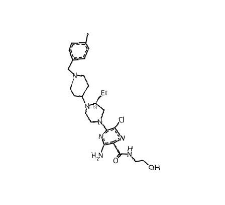 CC[C@H]1CN(c2nc(N)c(C(=O)NCCO)nc2Cl)CCN1C1CCN(Cc2ccc(C)cc2)CC1